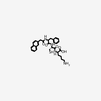 NCCCCC(NC(=O)[C@H](CS)NC(=O)C(Cc1ccccc1)NC(=O)Cc1ccc2ccccc2c1)C(=O)O